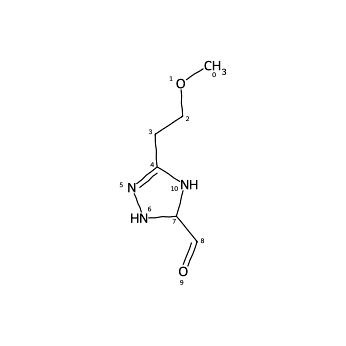 COCCC1=NNC(C=O)N1